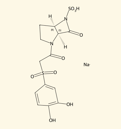 O=C(CS(=O)(=O)c1ccc(O)c(O)c1)N1CC[C@@H]2[C@H]1C(=O)N2S(=O)(=O)O.[Na]